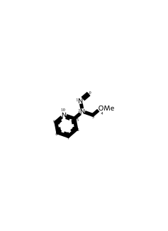 C=NN(COC)c1ccccn1